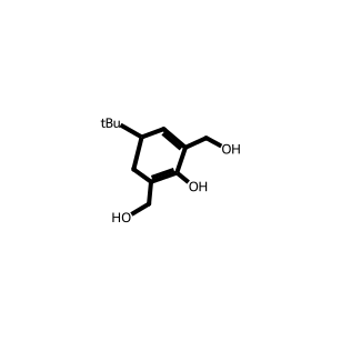 CC(C)(C)C1C=C(CO)C(O)=C(CO)C1